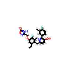 CCc1cc(OCc2noc(=O)[nH]2)c(F)c(C)c1Cc1ccc(O)c(-c2ccc(F)c(C)c2)n1